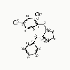 Clc1ccc(CN2CCN=C2Cc2ccccc2)c(Cl)c1